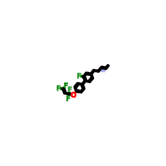 C/C=C/CCc1ccc(-c2ccc(OC(F)(F)C=C(F)F)cc2)c(F)c1